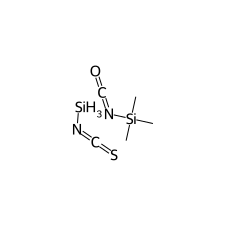 C[Si](C)(C)N=C=O.[SiH3]N=C=S